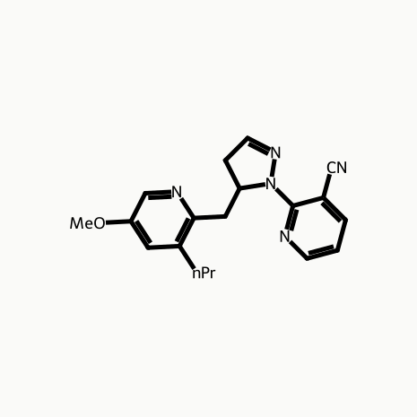 CCCc1cc(OC)cnc1CC1CC=NN1c1ncccc1C#N